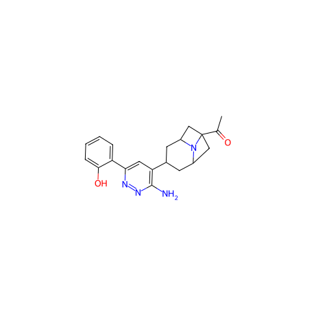 CC(=O)C12CC3CC(c4cc(-c5ccccc5O)nnc4N)CC(C1)N32